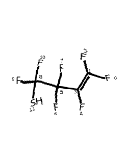 FC(F)=C(F)C(F)(F)C(F)(F)S